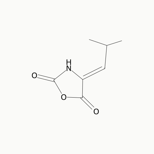 CC(C)/C=C1\NC(=O)OC1=O